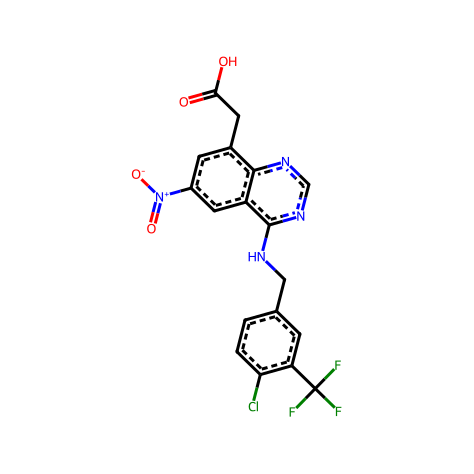 O=C(O)Cc1cc([N+](=O)[O-])cc2c(NCc3ccc(Cl)c(C(F)(F)F)c3)ncnc12